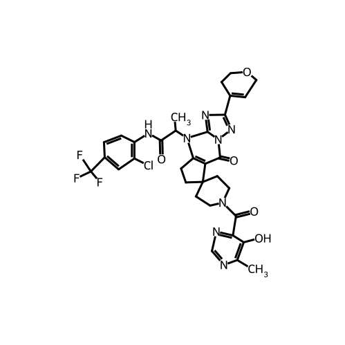 Cc1ncnc(C(=O)N2CCC3(CCc4c3c(=O)n3nc(C5=CCOCC5)nc3n4C(C)C(=O)Nc3ccc(C(F)(F)F)cc3Cl)CC2)c1O